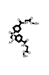 CC(=O)SCP(=O)(c1ccc(C(=O)NCC(=O)OC(C)(C)C)cc1)c1ccc(C(=O)NCC(=O)OC(C)(C)C)cc1